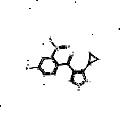 O=C(c1ccc(Br)cc1[N+](=O)[O-])c1cnoc1C1CC1